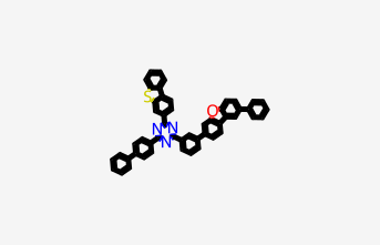 c1ccc(-c2ccc(-c3nc(-c4cccc(-c5ccc6c(c5)oc5ccc(-c7ccccc7)cc56)c4)nc(-c4ccc5c(c4)sc4ccccc45)n3)cc2)cc1